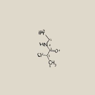 CC(C)CNC(=O)C(C)Cl